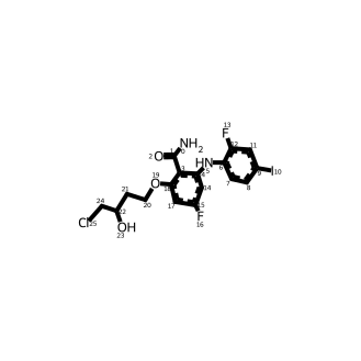 NC(=O)c1c(Nc2ccc(I)cc2F)cc(F)cc1OCCC(O)CCl